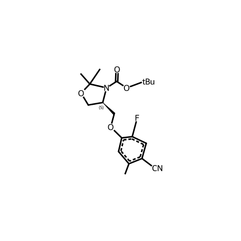 Cc1cc(OC[C@H]2COC(C)(C)N2C(=O)OC(C)(C)C)c(F)cc1C#N